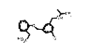 CC(NCc1cc(Cl)cc(COc2ccccc2CC(=O)O)c1)C(F)(F)F